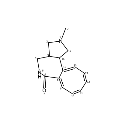 CN1CC2CNC(=O)C3=C/C=C\C=C/C=C\3C2C1